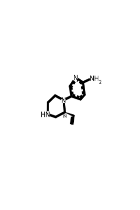 C=C[C@H]1CNCCN1c1ccc(N)nc1